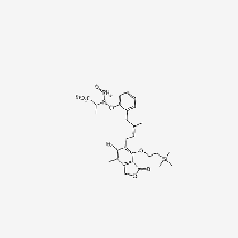 CCOC(=O)C(C)N(Oc1ccccc1CC(C)=CCc1c(CC)c(C)c2c(c1OCC[Si](C)(C)C)C(=O)OC2)[PH2]=O